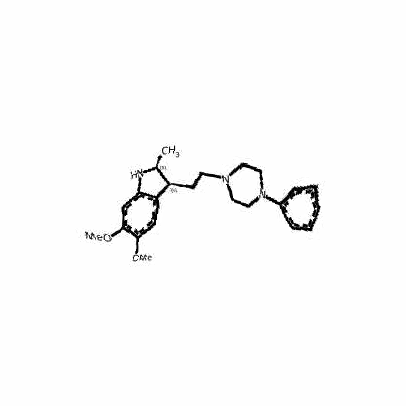 COc1cc2c(cc1OC)[C@H](CCN1CCN(c3ccccc3)CC1)[C@H](C)N2